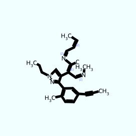 CC#Cc1ccc(C)c(-c2nn(CCC)cc2C(/C=N\C)=C(C)\N=C/C=C\C)c1